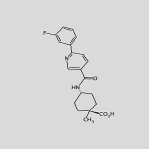 C[C@]1(C(=O)O)CC[C@H](NC(=O)c2ccc(-c3cccc(F)c3)nc2)CC1